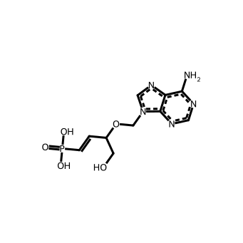 Nc1ncnc2c1ncn2COC(C=CP(=O)(O)O)CO